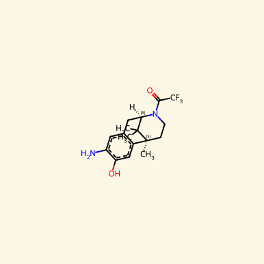 CC1(C)[C@H]2Cc3cc(N)c(O)cc3[C@]1(C)CCN2C(=O)C(F)(F)F